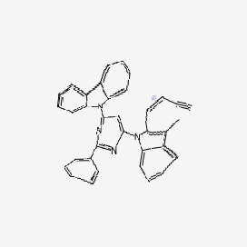 C#C/C=C\c1c(C)c2ccccc2n1-c1cc(-n2c3ccccc3c3ccccc32)nc(-c2ccccc2)n1